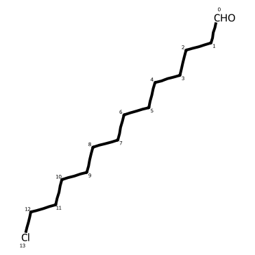 O=CCCCCCCCCCCCCCl